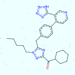 CCCCCn1nc(C(=O)C2CCCCC2)nc1Cc1ccc(-c2ccncc2-c2nnn[nH]2)cc1